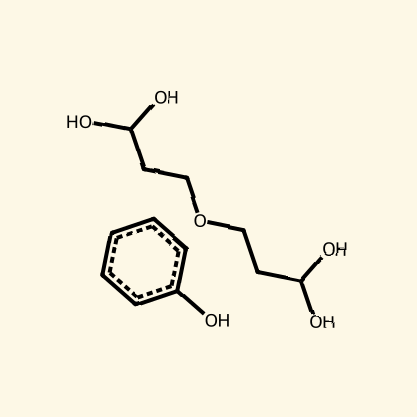 OC(O)CCOCCC(O)O.Oc1ccccc1